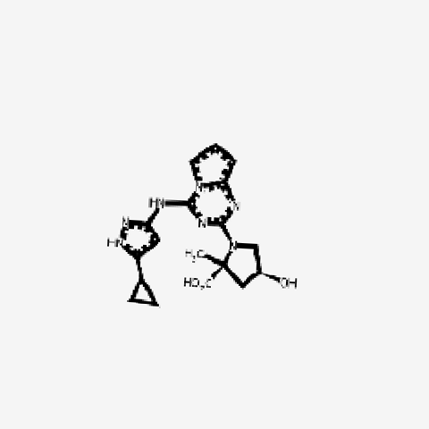 C[C@@]1(C(=O)O)C[C@H](O)CN1c1nc(Nc2cc(C3CC3)[nH]n2)n2cccc2n1